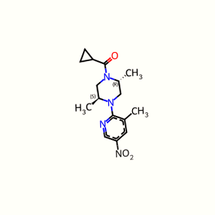 Cc1cc([N+](=O)[O-])cnc1N1C[C@@H](C)N(C(=O)C2CC2)C[C@@H]1C